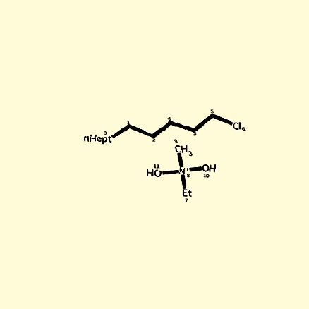 CCCCCCCCCCCCCl.CC[N+](C)(O)O